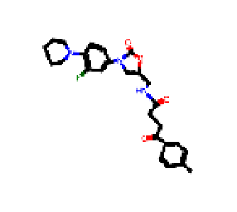 Cc1ccc(C(=O)CCC(=O)NCC2CN(c3ccc(N4CCCCC4)c(F)c3)C(=O)O2)cc1